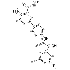 CC(C)NC(=O)c1cc(-c2ccc(NC(=O)C(O)c3cc(F)cc(F)c3)cc2)cnc1N